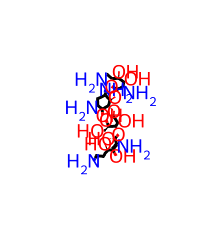 NCC[C@@H](O)/C(O)=C(/N)[C@H](O)O[C@@H]1[C@H](O)[C@H](O[C@@H]2C(O)[C@H](N)CC(N)[C@H]2O[C@H]2OC(CN)[C@@H](O)[C@H](O)C2N)O[C@@H]1CO